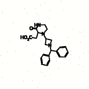 O=C(O)CC1C(=O)NCCN1C1CN(C(c2ccccc2)c2ccccc2)C1